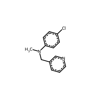 CN(Cc1cccnc1)c1ccc(Cl)cc1